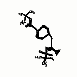 CC(C)(C)OC(=O)N1CCC(CC(=NS(=O)(=O)C(C)(C)C)C2CC2)CC1